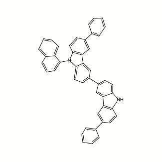 c1ccc(-c2ccc3[nH]c4ccc(-c5ccc6c(c5)c5cc(-c7ccccc7)ccc5n6-c5cccc6ccccc56)cc4c3c2)cc1